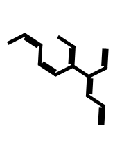 C=C/C=C(C=C)/C(/C=C\C=C/C)=C/C